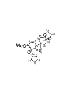 C#CC1(c2ccc(OC)c(OC3CCCC3)c2)CCC2(CC1)OCCO2